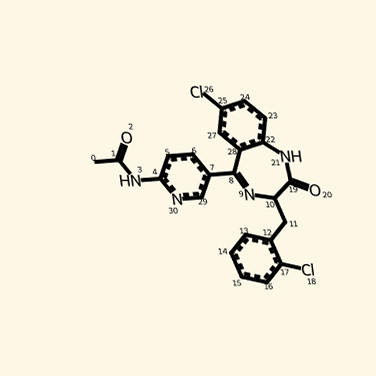 CC(=O)Nc1ccc(C2=NC(Cc3ccccc3Cl)C(=O)Nc3ccc(Cl)cc32)cn1